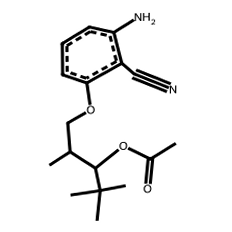 CC(=O)OC(C(C)COc1cccc(N)c1C#N)C(C)(C)C